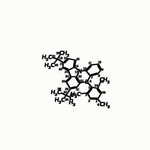 Cc1cc(C)c(B2c3ccccc3-n3c4ccc(C(C)(C)C)cc4c4cc(C(C)(C)C)cc2c43)c(C)c1